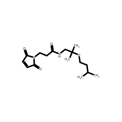 CC(C)CCOC(C)(C)CNC(=O)CCN1C(=O)C=CC1=O